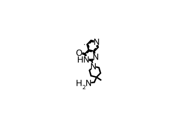 CC1(CN)CCN(c2nc3cnc[c]c3c(=O)[nH]2)CC1